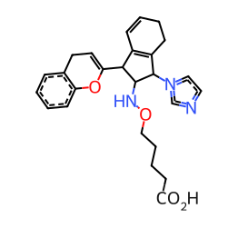 O=C(O)CCCCONC1C(C2=CCc3ccccc3O2)C2=C(CCC=C2)C1n1ccnc1